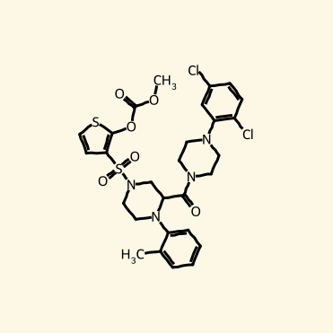 COC(=O)Oc1sccc1S(=O)(=O)N1CCN(c2ccccc2C)C(C(=O)N2CCN(c3cc(Cl)ccc3Cl)CC2)C1